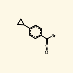 O=C=C(Br)c1ccc(C2CC2)cc1